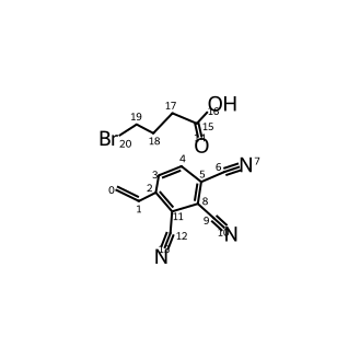 C=Cc1ccc(C#N)c(C#N)c1C#N.O=C(O)CCCBr